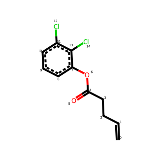 C=CCCC(=O)Oc1cccc(Cl)c1Cl